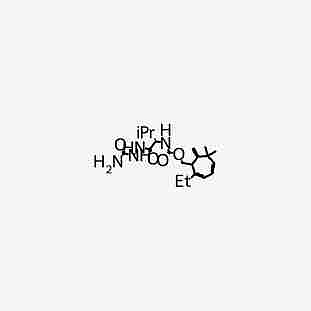 C=C1C(COC(=O)N[C@H](C(=O)NNC(N)=O)C(C)C)C(CC)=CC=CC1(C)C